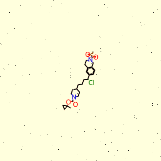 CC1(OC(=O)N2CCC(CCCC(Cl)c3ccc4c(c3)CCN(S(C)(=O)=O)C4)CC2)CC1